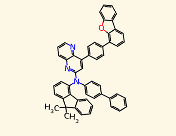 CC1(C)c2ccccc2-c2c(N(c3ccc(-c4ccccc4)cc3)c3cc(-c4ccc(-c5cccc6c5oc5ccccc56)cc4)c4ncccc4n3)cccc21